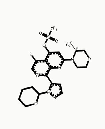 C[C@@H]1COCCN1c1cc(OS(=O)(=O)C(F)(F)F)c2c(F)cnc(-c3ccnn3C3CCCCO3)c2n1